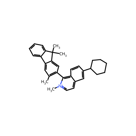 Cc1cc2c(cc1-c1c3ccc(C4CCCCC4)cc3cc[n+]1C)C(C)(C)c1ccccc1-2